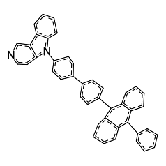 c1ccc(-c2c3ccccc3c(-c3ccc(-c4ccc(-n5c6ccccc6c6cnccc65)cc4)cc3)c3ccccc23)cc1